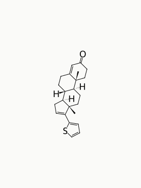 C[C@]12CCC(=O)C=C1CC[C@@H]1[C@@H]2CC[C@]2(C)C(c3cccs3)=CC[C@@H]12